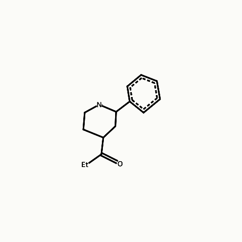 CCC(=O)C1CC[N]C(c2ccccc2)C1